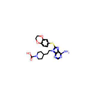 Nc1ncnc2c1nc(Sc1ccc3c(c1)OCCO3)n2CCC1CCN(C(=O)O)CC1